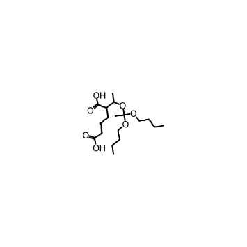 CCCCOC(C)(OCCCC)OC(C)C(CCCC(=O)O)C(=O)O